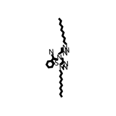 CCCCCCCCCCn1cc(CN(Cc2cn(CCCCCCCCCC)nn2)c2sc3c(c2C#N)CCCC3)nn1